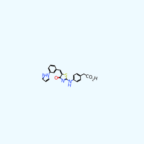 O=C(O)Cc1ccc(NC2=NC(=O)/C(=C\c3cccc(-n4cccn4)c3)S2)cc1